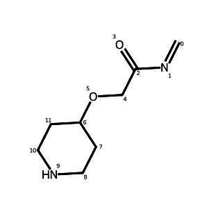 C=NC(=O)COC1CCNCC1